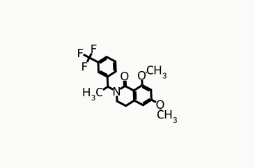 COc1cc2c(c(OC)c1)C(=O)N(C(C)c1cccc(C(F)(F)F)c1)CC2